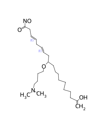 C=C(O)CCCCCCCCC(C/C=C/C/C=C/CC(=O)N=O)OCCCCN(C)C